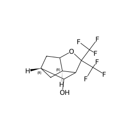 OC1C2[C@H]3C[C@@H]1CC3OC2(C(F)(F)F)C(F)(F)F